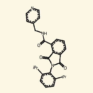 CC(C)c1cccc(C(C)C)c1N1C(=O)c2cccc(C(=O)NCc3ccncc3)c2C1=O